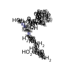 C=C1CC[C@H](O)C/C1=C/C=C1\CCC[C@]2(C)[C@@H]([C@H](C)/C=C/[C@H](C)C(C)C)CC[C@@H]12.CCCCNC(=O)n1c(NC(=O)OC)nc2ccccc21.CCN(CC)C(=O)n1cnc(S(=O)(=O)c2c(C)cc(C)cc2C)n1.CN(CCC(N)CC(=O)N[C@H]1C=C[C@H](n2ccc(N)nc2=O)O[C@@H]1C(=O)O)C(=N)N.O=C(Nc1ccccc1)c1ccccc1I